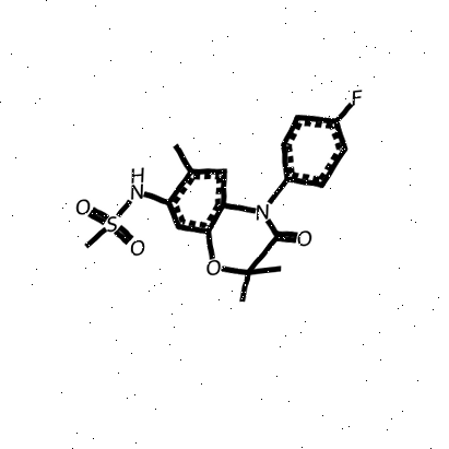 Cc1cc2c(cc1NS(C)(=O)=O)OC(C)(C)C(=O)N2c1ccc(F)cc1